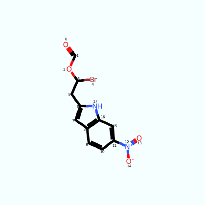 O=COC(Br)Cc1cc2ccc([N+](=O)[O-])cc2[nH]1